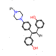 CC(C)/C(=C(/c1ccc(N2CCN(C(C)C)CC2)cc1)c1cccc(O)c1)c1cccc(O)c1